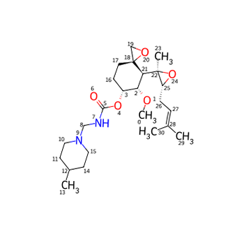 CO[C@@H]1[C@H](OC(=O)NCN2CCC(C)CC2)CC[C@]2(CO2)[C@H]1[C@@]1(C)O[C@@H]1CC=C(C)C